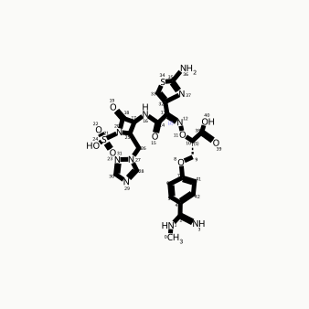 CNC(=N)c1ccc(OC[C@H](O/N=C(\C(=O)NC2C(=O)N(S(=O)(=O)O)C2Cn2cncn2)c2csc(N)n2)C(=O)O)cc1